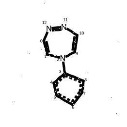 C1=CN(c2ccccc2)C=CN=N1